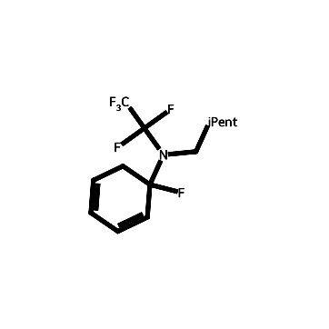 CCCC(C)CN(C1(F)C=CC=CC1)C(F)(F)C(F)(F)F